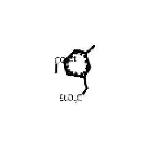 CCOC(=O)Cc1cccc(C)c1.CCOC(C)=O